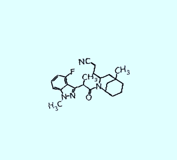 CC(C(=O)N1C(CCC#N)CC2(C)CCCC1C2)c1nn(C)c2cccc(F)c12